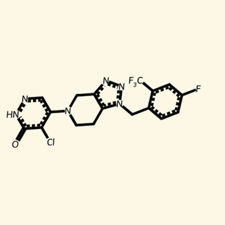 O=c1[nH]ncc(N2CCc3c(nnn3Cc3ccc(F)cc3C(F)(F)F)C2)c1Cl